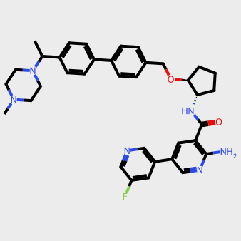 CC(c1ccc(-c2ccc(CO[C@H]3CCC[C@@H]3NC(=O)c3cc(-c4cncc(F)c4)cnc3N)cc2)cc1)N1CCN(C)CC1